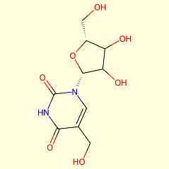 O=c1[nH]c(=O)n([C@@H]2O[C@H](CO)C(O)C2O)cc1CO